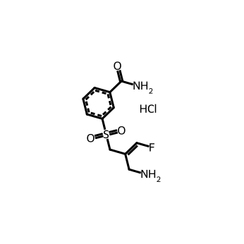 Cl.NCC(=CF)CS(=O)(=O)c1cccc(C(N)=O)c1